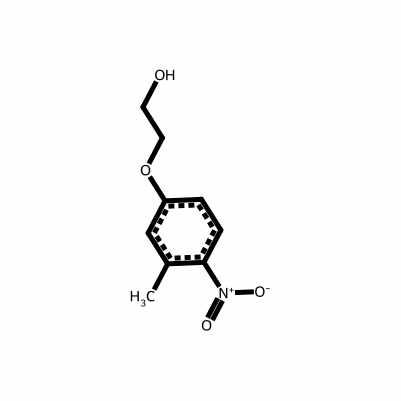 Cc1cc(OCCO)ccc1[N+](=O)[O-]